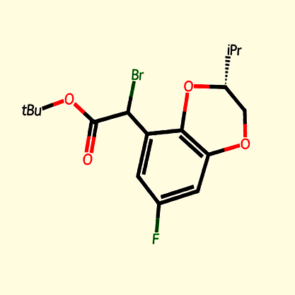 CC(C)[C@@H]1COc2cc(F)cc(C(Br)C(=O)OC(C)(C)C)c2O1